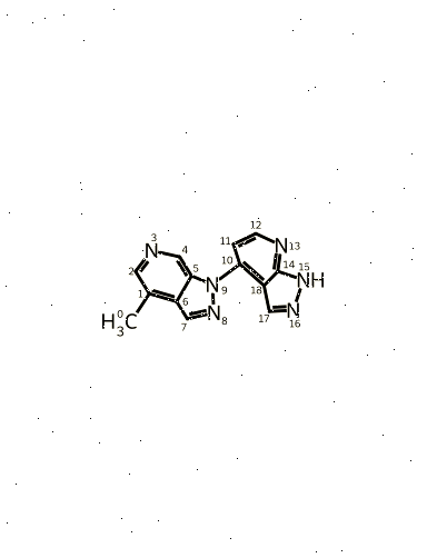 Cc1cncc2c1cnn2-c1ccnc2[nH]ncc12